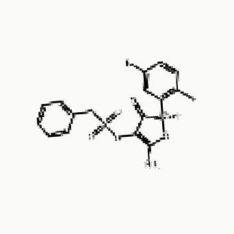 [2H][C@]1(c2cc(F)ccc2F)OC(N)=C(OS(=O)(=O)Cc2ccccc2)C1=O